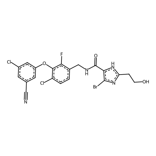 N#Cc1cc(Cl)cc(Oc2c(Cl)ccc(CNC(=O)c3[nH]c(CCO)nc3Br)c2F)c1